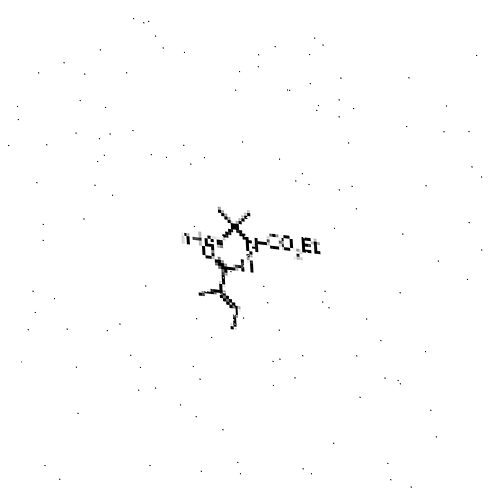 CC=C(C)C(=O)ON(C(=O)OCC)C(C)(C)CCCCCC